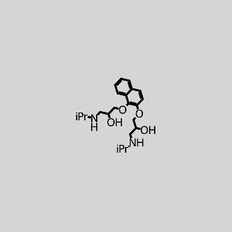 CC(C)NCC(O)COc1ccc2ccccc2c1OCC(O)CNC(C)C